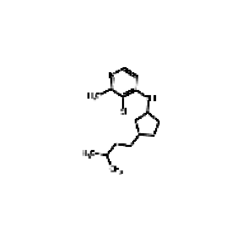 Cc1nccc(NC2CCC(CCC(C)C)C2)c1Cl